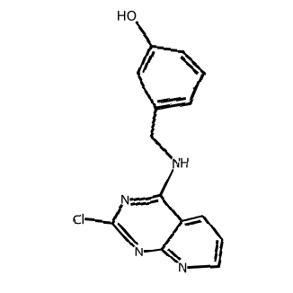 Oc1cccc(CNc2nc(Cl)nc3ncccc23)c1